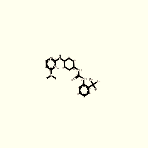 CN(C)c1ccnc(NC2CCC(NC(=O)Nc3ccccc3C(F)(F)F)CC2)n1